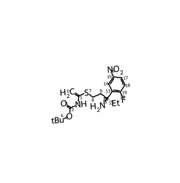 C=C(NC(=O)OC(C)(C)C)SCC[C@@](N)(CC)c1cc([N+](=O)[O-])ccc1F